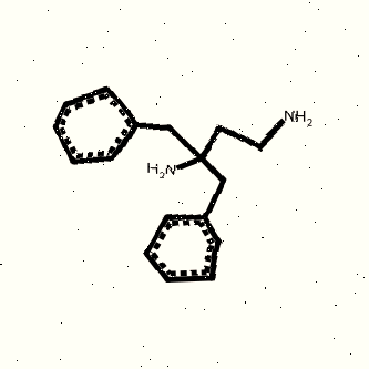 NCCC(N)(Cc1ccccc1)Cc1ccccc1